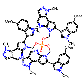 COc1ccc2c(c1)c(-c1cc3c4c(cnc3n1COP(=O)(OCn1c(-c3cn(C)c5ccc(OC)cc35)cc3c5c(cnc31)cnn5C)OCn1c(-c3cn(C)c5ccc(OC)cc35)cc3c5c(cnc31)cnn5C)cnn4C)cn2C